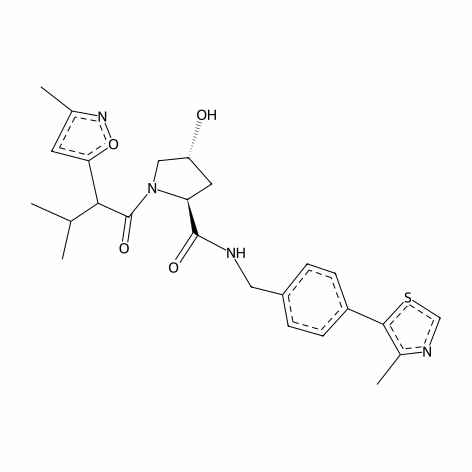 Cc1cc(C(C(=O)N2C[C@H](O)C[C@H]2C(=O)NCc2ccc(-c3scnc3C)cc2)C(C)C)on1